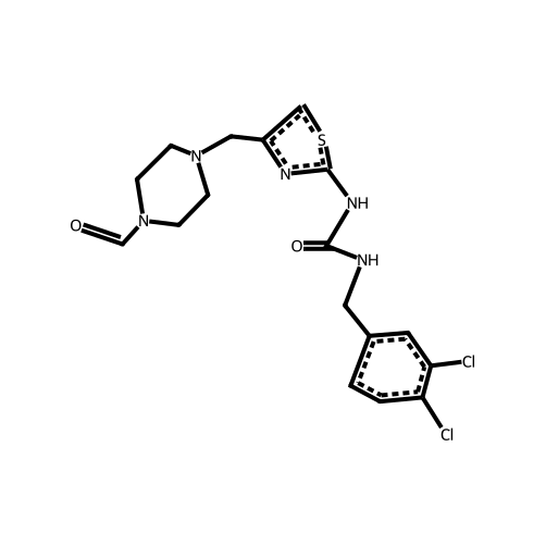 O=CN1CCN(Cc2csc(NC(=O)NCc3ccc(Cl)c(Cl)c3)n2)CC1